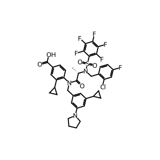 C[C@@H](C(=O)N(Cc1cc(C2CC2)cc(N2CCCC2)c1)c1ccc(C(=O)O)cc1C1CC1)N(Cc1ccc(F)cc1Cl)S(=O)(=O)c1c(F)c(F)c(F)c(F)c1F